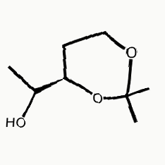 CC(O)[C@H]1CCOC(C)(C)O1